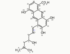 CN(C)CC(O)C/N=C/c1c(O)cc(O)c2nc3c(C(=O)O)ccc(O)c3nc12